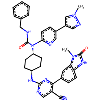 Cn1cc(-c2ccc(N(C(=O)NCc3ccccc3)[C@H]3CC[C@H](Nc4ncc(C#N)c(-c5ccc6[nH]c(=O)n(C)c6c5)n4)CC3)nc2)cn1